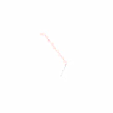 CCCCCCCCCCCC(C)OCCOCCOCCOCCOCCOCCOCCOCCO